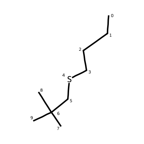 CCCCSCC(C)(C)C